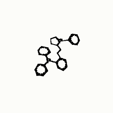 c1ccc(P(c2ccccc2)c2ccccc2CCC2CCCP2c2ccccc2)cc1